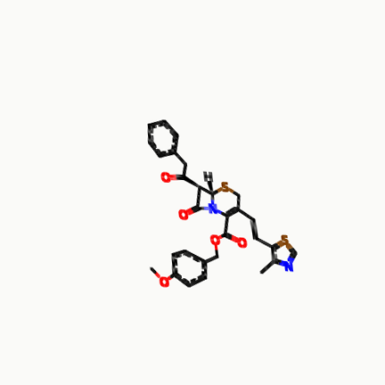 COc1ccc(COC(=O)C2=C(C=Cc3scnc3C)CS[C@H]3[C@H](C(=O)Cc4ccccc4)C(=O)N23)cc1